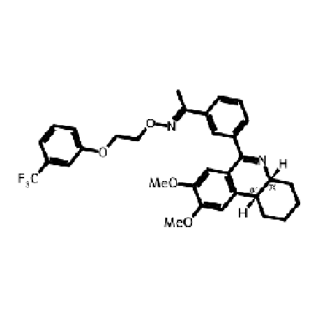 COc1cc2c(cc1OC)[C@H]1CCCC[C@H]1N=C2c1cccc(C(C)=NOCCOc2cccc(C(F)(F)F)c2)c1